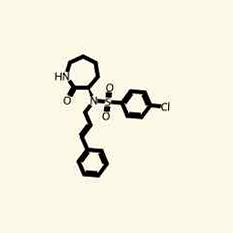 O=C1NCCCC[C@H]1N(CC=Cc1ccccc1)S(=O)(=O)c1ccc(Cl)cc1